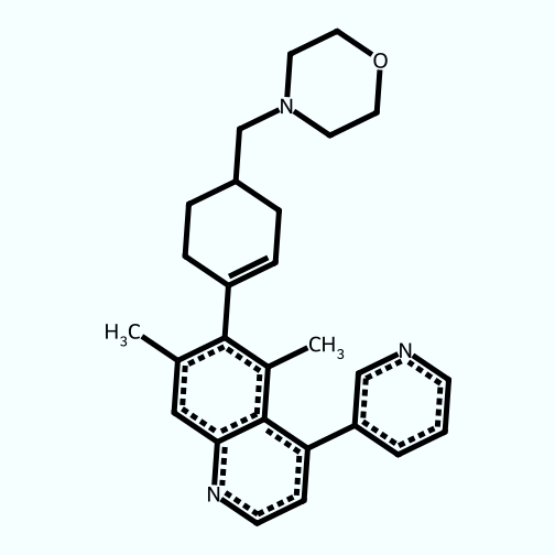 Cc1cc2nccc(-c3cccnc3)c2c(C)c1C1=CCC(CN2CCOCC2)CC1